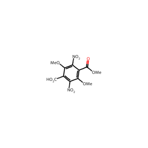 COC(=O)c1c(OC)c([N+](=O)[O-])c(C(=O)O)c(OC)c1[N+](=O)[O-]